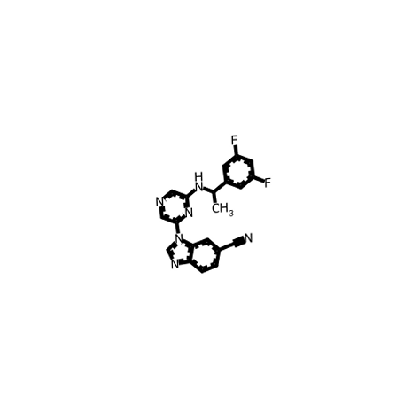 CC(Nc1cncc(-n2cnc3ccc(C#N)cc32)n1)c1cc(F)cc(F)c1